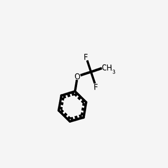 CC(F)(F)Oc1ccccc1